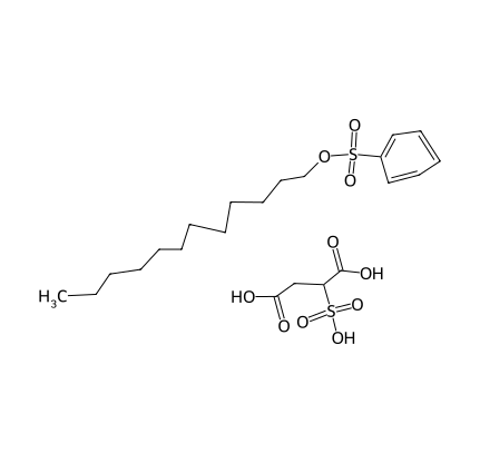 CCCCCCCCCCCCOS(=O)(=O)c1ccccc1.O=C(O)CC(C(=O)O)S(=O)(=O)O